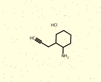 C#CCC1CCCCC1N.Cl